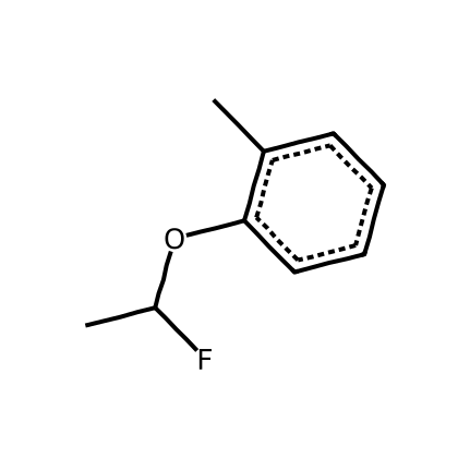 Cc1ccccc1OC(C)F